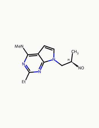 CCc1nc(NC)c2ccn(C[C@@H](C)N=O)c2n1